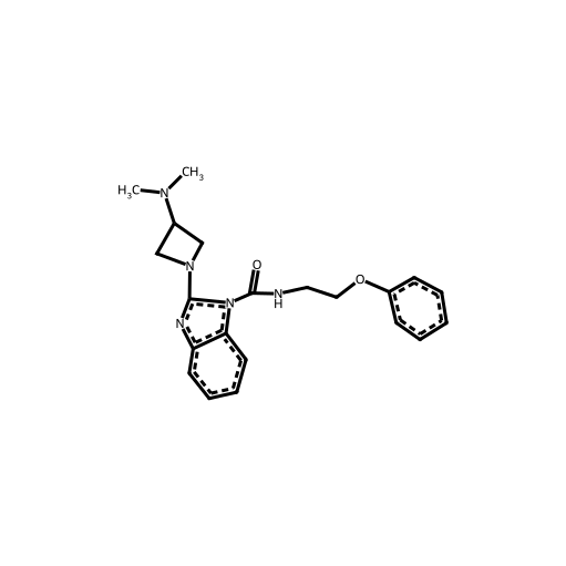 CN(C)C1CN(c2nc3ccccc3n2C(=O)NCCOc2ccccc2)C1